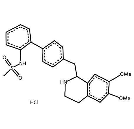 COc1cc2c(cc1OC)C(Cc1ccc(-c3ccccc3NS(C)(=O)=O)cc1)NCC2.Cl